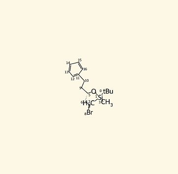 CC(C)(C)[Si](C)(C)O[C@H](CCBr)CCc1ccccc1